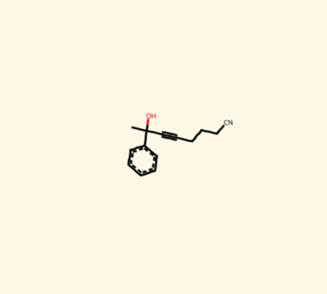 CC(O)(C#CCCCC#N)c1ccccc1